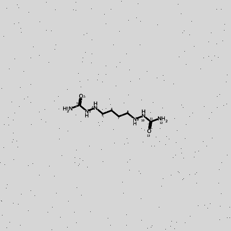 NC(=O)NNCCCCNNC(N)=O